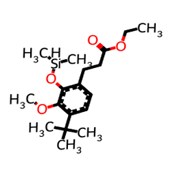 CCOC(=O)CCc1ccc(C(C)(C)C)c(OC)c1O[SiH](C)C